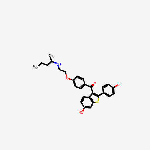 CCCC(C)NCCOc1ccc(C(=O)c2c(-c3ccc(O)cc3)sc3cc(O)ccc23)cc1